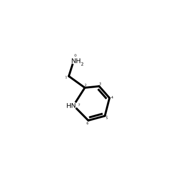 NCC1C=C[C]=CN1